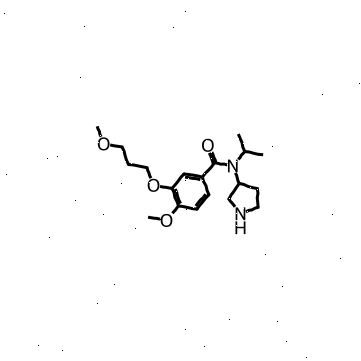 COCCCOc1cc(C(=O)N(C(C)C)C2CCNC2)ccc1OC